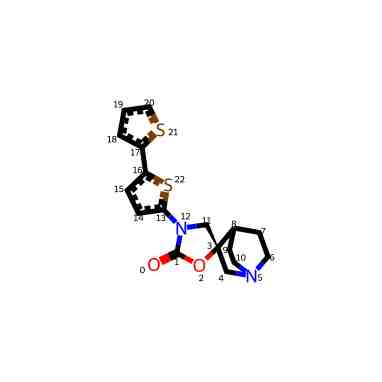 O=C1O[C@]2(CN3CCC2CC3)CN1c1ccc(-c2cccs2)s1